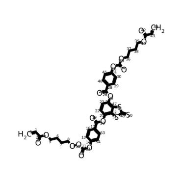 C=CC(=O)OCCCCOOC(=O)Oc1ccc(C(=O)Oc2ccc(OC(=O)c3ccc(OC(=O)OCCCCOC(=O)C=C)cc3)c3sc(=S)sc23)cc1